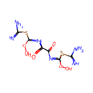 N=C(N)SC(=NC(=O)C(=O)N=C(OO)SC(=N)N)OO